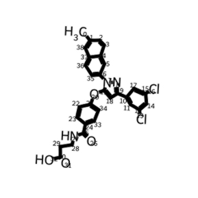 Cc1ccc2cc(-n3nc(-c4cc(Cl)cc(Cl)c4)cc3Oc3ccc(C(=O)NCCC(=O)O)cc3)ccc2c1